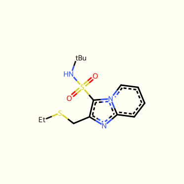 CCSCc1nc2ccccn2c1S(=O)(=O)NC(C)(C)C